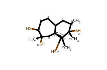 CC1CC2CCC(S)C(C)(S)CC23CC(C)(S)C3C1(C)S